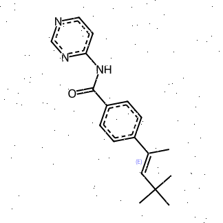 C/C(=C\C(C)(C)C)c1ccc(C(=O)Nc2ccncn2)cc1